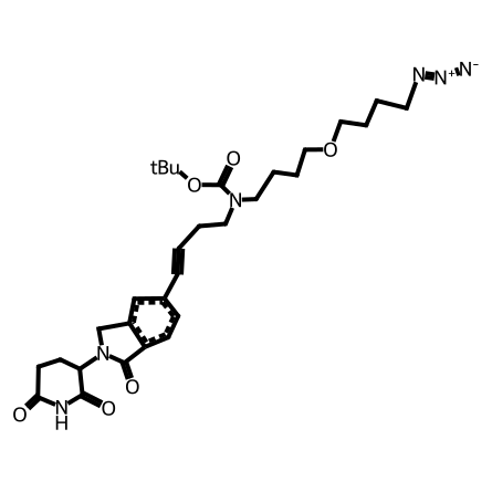 CC(C)(C)OC(=O)N(CCC#Cc1ccc2c(c1)CN(C1CCC(=O)NC1=O)C2=O)CCCCOCCCCN=[N+]=[N-]